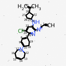 C#C/C=N/c1nc(C2=CC=C(N3CCC=CCC3)CC2)c(Cl)cc1NC1CCC(C(=C)C)C1